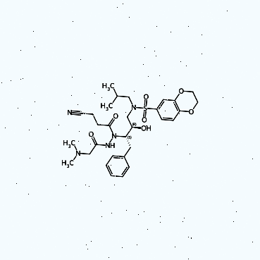 CC(C)CN(C[C@@H](O)[C@H](Cc1ccccc1)N(NC(=O)CN(C)C)C(=O)CCC#N)S(=O)(=O)c1ccc2c(c1)OCCO2